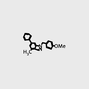 COc1ccc(Cn2ncc3c(C)cc(-c4ccccc4)cc32)cc1